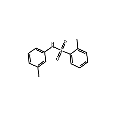 Cc1cccc(NS(=O)(=O)c2ccccc2C)c1